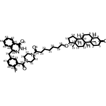 C[C@]12CCC(=O)C[C@@H]1CC[C@@H]1[C@@H]2CC[C@]2(C)[C@@H](OCCCCCCC(=O)N3CCN(C(=O)c4cc(Cc5n[nH]c(=O)c6ccccc56)ccc4F)CC3)CC[C@@H]12